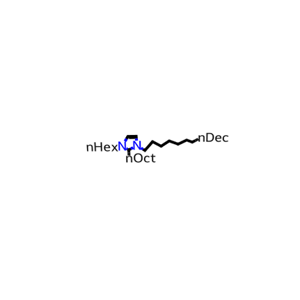 CCCCCCCCCCCCCCCCCN1C=CN(CCCCCC)C1CCCCCCCC